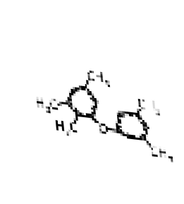 Cc1cc(C)cc(Oc2cc(C)cc(C)c2C)c1